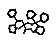 CC(C)(C)OC(=O)C(C)(CSC(c1ccccc1)(c1ccccc1)c1ccccc1)N=C(c1ccccc1)c1ccccc1